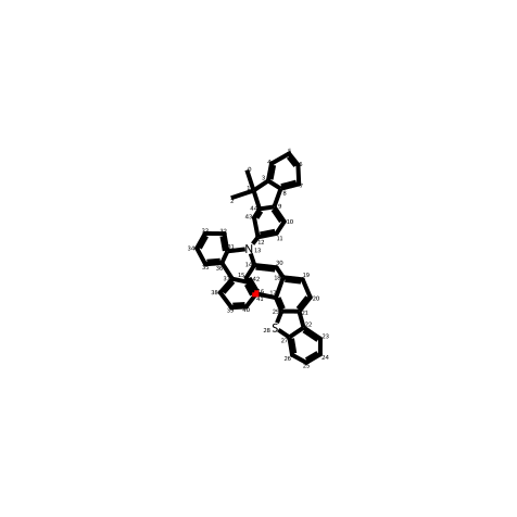 CC1(C)c2ccccc2-c2ccc(N(c3ccc4c(ccc5c6ccccc6sc45)c3)c3ccccc3-c3ccccc3)cc21